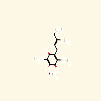 CC/C(C)=C/CC1=C(C)C(=O)C(OC)=C(C)C1=O